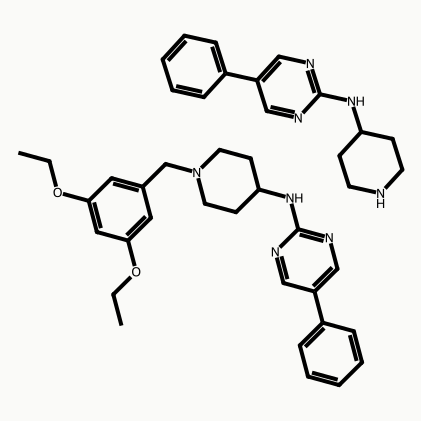 CCOc1cc(CN2CCC(Nc3ncc(-c4ccccc4)cn3)CC2)cc(OCC)c1.c1ccc(-c2cnc(NC3CCNCC3)nc2)cc1